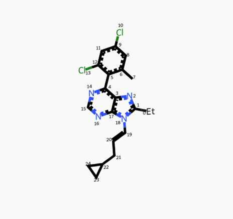 CCc1nc2c(-c3c(C)cc(Cl)cc3Cl)ncnc2n1C=CCC1CC1